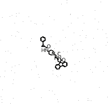 O=C(NC1CCN(CCCCC2(C(=O)NCC(F)(F)F)c3ccccc3-c3ccccc32)CC1)C1CC1c1ccccc1